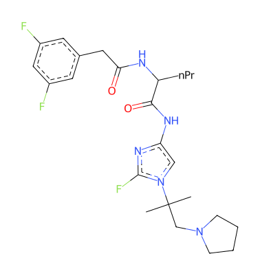 CCCC(NC(=O)Cc1cc(F)cc(F)c1)C(=O)Nc1cn(C(C)(C)CN2CCCC2)c(F)n1